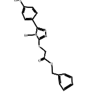 CCn1c(SCC(=O)OCc2ccccc2)nnc1-c1ccc(OC)cc1